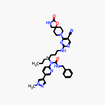 CCC[C@@H](CCCNc1ncc(C#N)c(N2CCC3(CC2)CNC(=O)O3)n1)N(C(=O)NCc1ccccc1)c1ccc(-c2cnn(C)c2)cn1